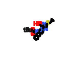 CC(C)(C)OC(=O)N[C@@H]1c2ccccc2CC12CCN(c1ncc(SCC3CC3)nc1CO)CC2